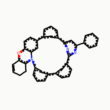 C1=Cc2oc3ccc4cc3-n(c2CC1)c1cccc(c1)c1cccc(c1)c1nc(-c2ccccc2)cc(n1)c1cccc4c1